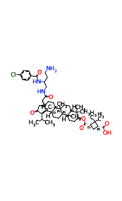 CC(C)C1=C2[C@H]3CC[C@@H]4[C@@]5(C)CC[C@H](OC(=O)[C@H]6C[C@@H](C(=O)O)C6(C)C)C(C)(C)[C@@H]5CC[C@@]4(C)[C@]3(C)CC[C@@]2(CC(=O)NCC(CCN)NC(=O)c2ccc(Cl)cc2)CC1=O